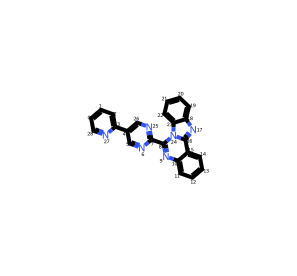 c1ccc(-c2cnc(-c3nc4ccccc4c4nc5ccccc5n34)nc2)nc1